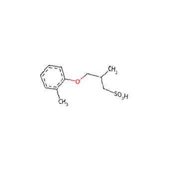 Cc1ccccc1OCC(C)CS(=O)(=O)O